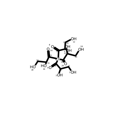 O=[C](C(O)CO)[Ti]([C](=O)C(O)CO)([C](=O)C(O)CO)[C](=O)C(O)CO